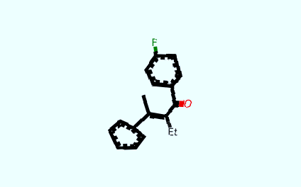 [CH2]CC(C(=O)c1ccc(F)cc1)=C(C)c1ccccc1